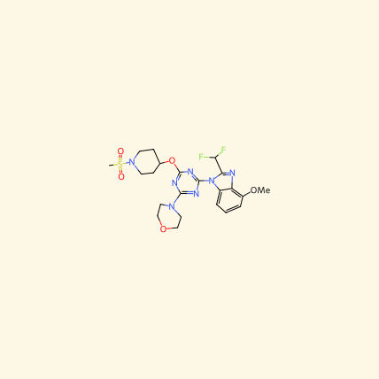 COc1cccc2c1nc(C(F)F)n2-c1nc(OC2CCN(S(C)(=O)=O)CC2)nc(N2CCOCC2)n1